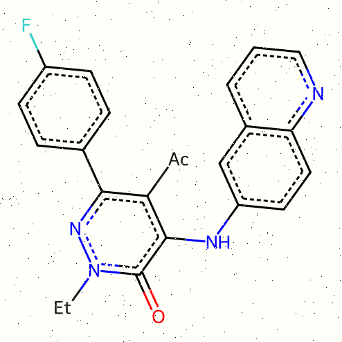 CCn1nc(-c2ccc(F)cc2)c(C(C)=O)c(Nc2ccc3ncccc3c2)c1=O